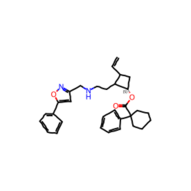 C=CC1C[C@H](OC(=O)C2(c3ccccc3)CCCCC2)C1CCNCc1cc(-c2ccccc2)on1